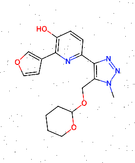 Cn1nnc(-c2ccc(O)c(-c3ccoc3)n2)c1COC1CCCCO1